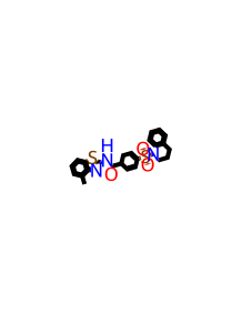 Cc1cccc2sc(NC(=O)C3C=CC(S(=O)(=O)N4CCCc5ccccc54)=CC3)nc12